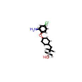 CC(C)(CC1CCC(Oc2ccc(Cl)cc2N)CC1)[Si](C)(C)O